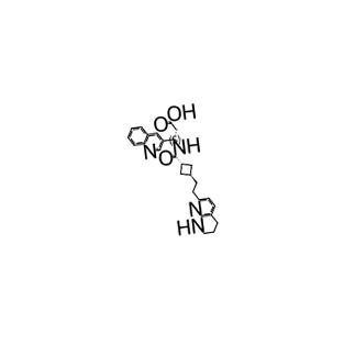 O=C(O)C[C@H](NC(=O)[C@H]1C[C@H](CCc2ccc3c(n2)NCCC3)C1)c1cnc2ccccc2c1